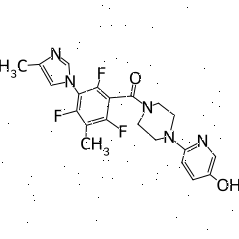 Cc1cn(-c2c(F)c(C)c(F)c(C(=O)N3CCN(c4ccc(O)cn4)CC3)c2F)cn1